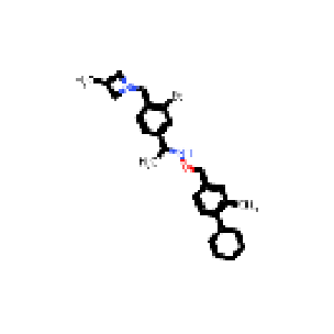 CCc1cc(C(C)NOCc2ccc(C3CCCCC3)c(C)c2)ccc1CN1CC(C)C1